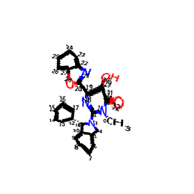 Cn1c(N2Cc3ccccc3[C@@H]2c2ccccc2)nc(-c2nc3ccccc3o2)c(O)c1=O